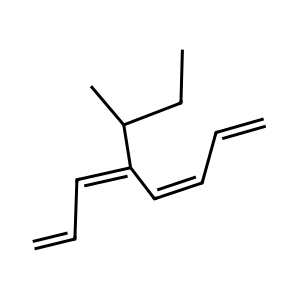 C=C/C=C\C(=C/C=C)C(C)CC